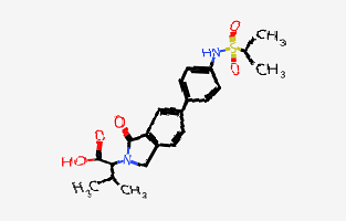 CC(C)C(C(=O)O)N1Cc2ccc(-c3ccc(NS(=O)(=O)C(C)C)cc3)cc2C1=O